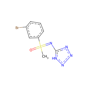 CS(=O)(=Nc1nnn[nH]1)c1cccc(Br)c1